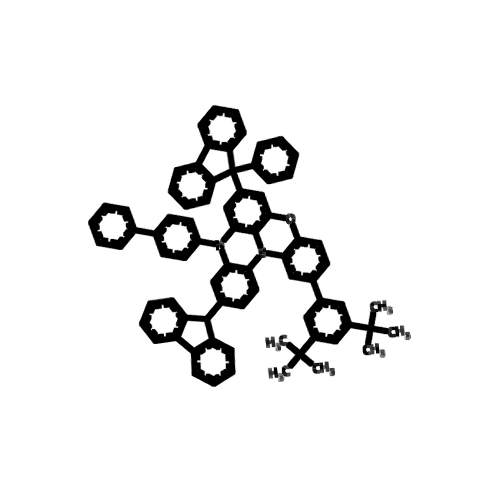 CC(C)(C)c1cc(-c2ccc3c(c2)B2c4ccc(C5c6ccccc6-c6ccccc65)cc4N(c4ccc(-c5ccccc5)cc4)c4cc(C5(c6ccccc6)c6ccccc6-c6ccccc65)cc(c42)O3)cc(C(C)(C)C)c1